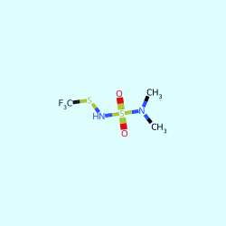 CN(C)S(=O)(=O)NSC(F)(F)F